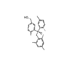 Cc1cc(C)c(CP(=O)(c2cc(C)ccc2C)c2cc(CO)ccc2C)c(C)c1